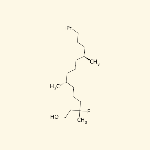 CC(C)CCC[C@@H](C)CCC[C@@H](C)CCCC(C)(F)CCO